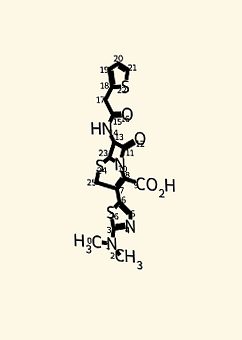 CN(C)c1ncc(C2=C(C(=O)O)N3C(=O)C(NC(=O)Cc4cccs4)C3SC2)s1